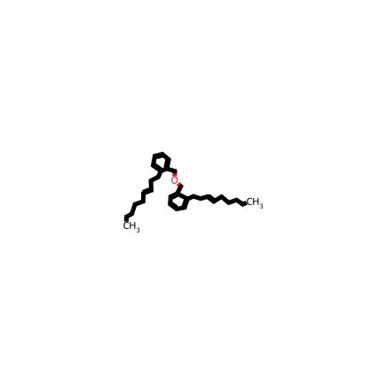 CCCCCC=CCCc1ccccc1COCc1ccccc1CCC=CCCCCC